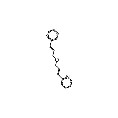 C(=Cc1ccccn1)COCC=Cc1ccccn1